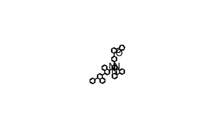 c1ccc(-c2ccccc2-c2nc(-c3ccc(-c4cccc5c4oc4ccccc45)cc3)nc(-c3ccc(-c4ccc(-c5ccccc5)c5ccccc45)c4ccccc34)n2)cc1